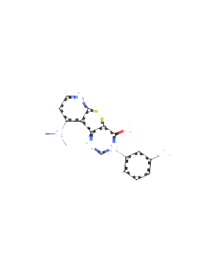 CC(=O)c1cccc(-n2cnc3c(sc4nccc(N(C)C)c43)c2=O)c1